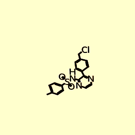 Cc1ccc(S(=O)(=O)Nc2nccnc2-c2ccc(CCl)cc2)cc1